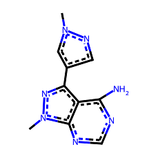 Cn1cc(-c2nn(C)c3ncnc(N)c23)cn1